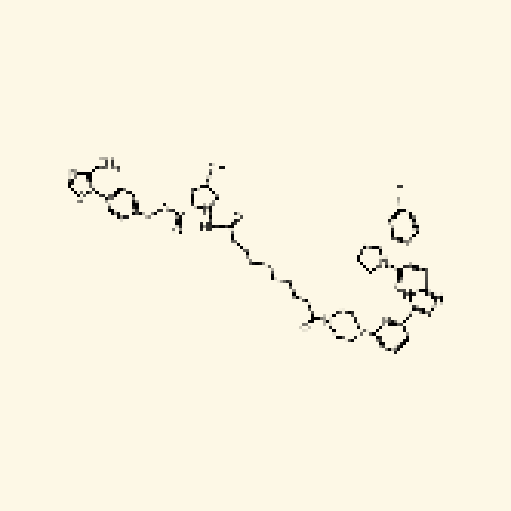 Cc1ncsc1-c1ccc(CNC(=O)[C@@H]2C[C@@H](O)CN2NC(=O)CCCCCCCCC(=O)N2CCN(c3cccc(-c4cnc5ccc(N6CCC[C@@H]6c6cccc(F)c6)nn45)n3)CC2)cc1